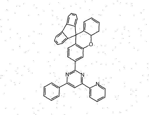 C1=CCC2Oc3cc(-c4nc(-c5ccccc5)cc(-c5ccccn5)n4)ccc3C3(C2=C1)c1ccccc1-c1ccccc13